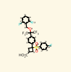 O=C(O)C1CC(c2ccc(C(OCc3c(F)cccc3F)(C(F)(F)F)C(F)(F)F)cc2)(S(=O)(=O)c2ccc(F)cc2)C1